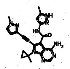 Cc1cc(NC(=O)c2c(C#Cc3ccn(C)n3)n(C3(C)CC3)c3ncnc(N)c23)n[nH]1